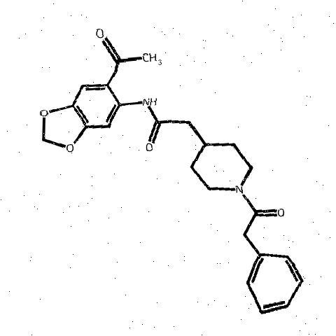 CC(=O)c1cc2c(cc1NC(=O)CC1CCN(C(=O)Cc3ccccc3)CC1)OCO2